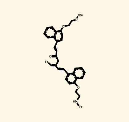 CC/C=C(/C=C/c1ccc(OCCNC(C)C)c2ccccc12)CC(=O)/C=C/c1ccc(OCCOC(C)(C)C)c2ccccc12